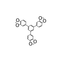 c1cc2c(cc1-c1cc(-c3ccc4c(c3)OCO4)cc(-c3ccc4c(c3)OCO4)c1)OCO2